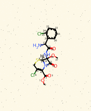 COC(=O)C1=C(Cl)CS[C@@H]2N1C(=O)C2(NC(=O)C(N)c1ccccc1Cl)OC